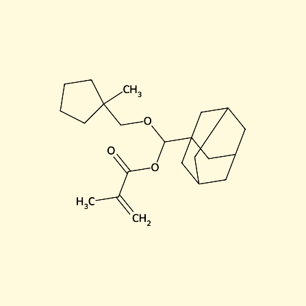 C=C(C)C(=O)OC(OCC1(C)CCCC1)C12CC3CC(CC(C3)C1)C2